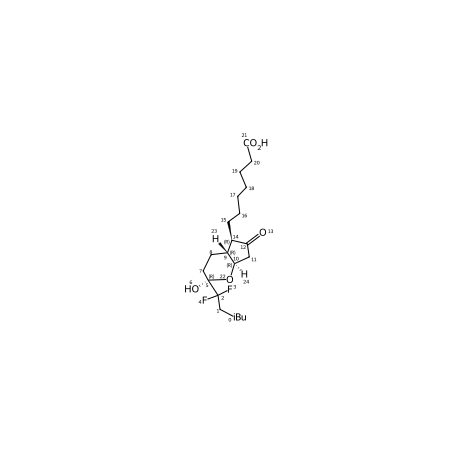 CCC(C)CC(F)(F)[C@@]1(O)CC[C@H]2[C@@H](CC(=O)[C@@H]2CCCCCCC(=O)O)O1